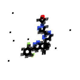 CC1(C)[C@H]2CC[C@@]1(c1ccnc(-c3cnn(C4COC4)c3)n1)c1nnc(-c3c(F)cccc3F)cc12